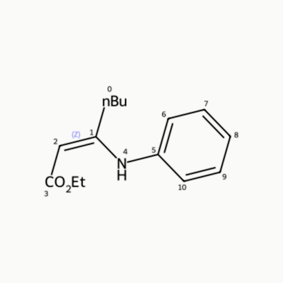 CCCC/C(=C/C(=O)OCC)Nc1ccccc1